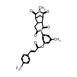 Cc1cc(OC(=O)C=Cc2ccc(C(F)(F)F)cc2)cc(N2C(=O)CC3C4CC(C(=O)N(C)C4=O)C3C2=O)c1